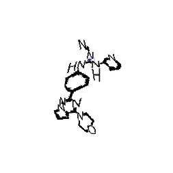 N#C/N=C(\Nc1ccc(-c2nc(N3CCOCC3)c3cccn3n2)cc1)Nc1cccnc1